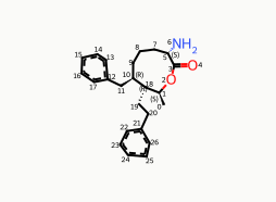 C[C@@H]1OC(=O)[C@@H](N)CCC[C@H](Cc2ccccc2)[C@H]1CCc1ccccc1